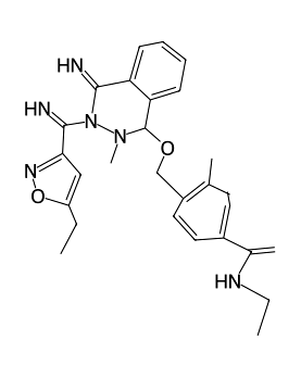 C=C(NCC)C(/C=C\C(COC1c2ccccc2C(=N)N(C(=N)c2cc(CC)on2)N1C)=C(C)C)=C/C